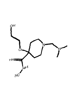 CN(C)CN1CCC(OCCO)(C(=N)NO)CC1